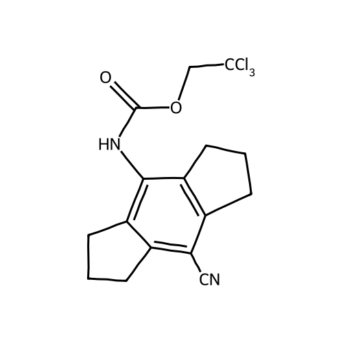 N#Cc1c2c(c(NC(=O)OCC(Cl)(Cl)Cl)c3c1CCC3)CCC2